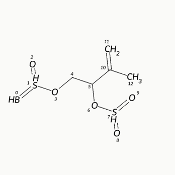 B=[SH](=O)OCC(O[SH](=O)=O)C(=C)C